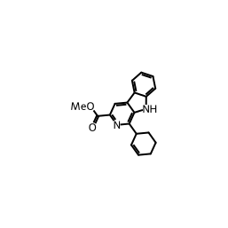 COC(=O)c1cc2c([nH]c3ccccc32)c(C2C=CCCC2)n1